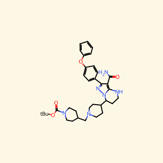 CC(C)(C)OC(=O)N1CCC(CN2CCC(C3CCNc4c(C(N)=O)c(-c5ccc(Oc6ccccc6)cc5)nn43)CC2)CC1